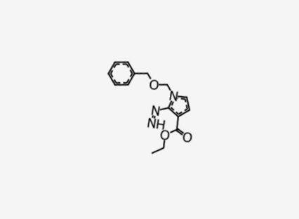 CCOC(=O)c1ccn(COCc2ccccc2)c1N=N